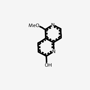 COc1nccc2nc(O)ccc12